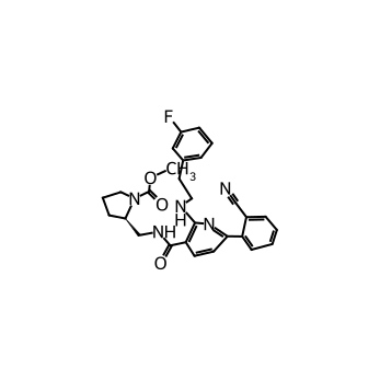 COC(=O)N1CCC[C@@H]1CNC(=O)c1ccc(-c2ccccc2C#N)nc1NCCc1cccc(F)c1